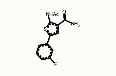 CC(=O)Nc1sc(-c2cccc(F)c2)cc1C(N)=O